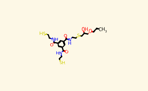 CCCOCC(O)CSCCNC(=O)c1cc(C(=O)NCCS)cc(C(=O)NCCS)c1